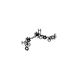 O=C(Cc1ccccc1)Nc1ccc(CCCCc2nnc(NC(O)Cc3cccc(CC(=O)N4CCC(F)(F)CC4)c3)s2)nn1